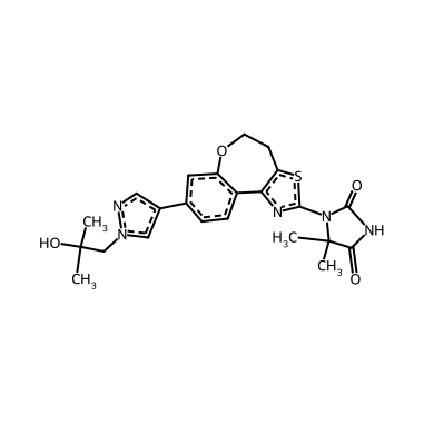 CC(C)(O)Cn1cc(-c2ccc3c(c2)OCCc2sc(N4C(=O)NC(=O)C4(C)C)nc2-3)cn1